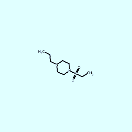 CCCN1CCN(S(=O)(=O)CC)CC1